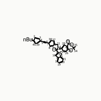 CCCCc1ccc(C#Cc2ccc(CN(C(=O)c3cc4ccccc4s3)c3ccc4c(c3)C(=O)OC(C)(C)O4)cc2)cc1